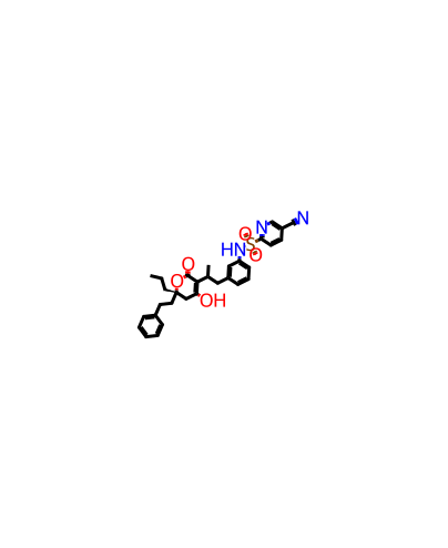 CCC[C@]1(CCc2ccccc2)CC(O)=C(C(C)Cc2cccc(NS(=O)(=O)c3ccc(C#N)cn3)c2)C(=O)O1